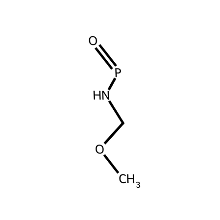 COCNP=O